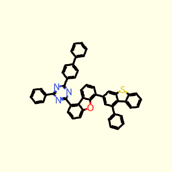 c1ccc(-c2ccc(-c3nc(-c4ccccc4)nc(-c4cccc5oc6c(-c7cc(-c8ccccc8)c8c(c7)sc7ccccc78)cccc6c45)n3)cc2)cc1